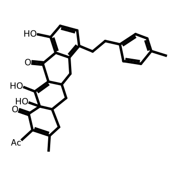 CC(=O)C1=C(C)CC2CC3Cc4c(CCc5ccc(C)cc5)ccc(O)c4C(=O)C3=C(O)C2(O)C1=O